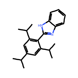 CC(C)c1cc(C(C)C)c(-c2nc3ccccc3[nH]2)c(C(C)C)c1